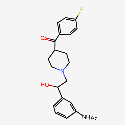 CC(=O)Nc1cccc(C(O)CN2CCC(C(=O)c3ccc(F)cc3)CC2)c1